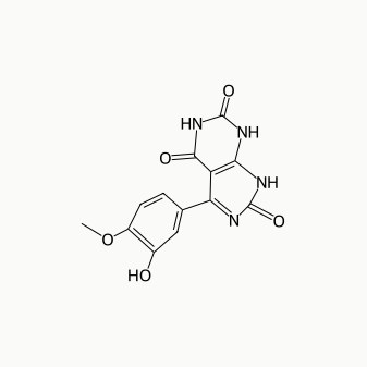 COc1ccc(-c2nc(=O)[nH]c3[nH]c(=O)[nH]c(=O)c23)cc1O